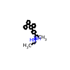 CCC/C=C\NN/C=C(\CCC)C1CC=C(C2=C3C=CC=CC3C(C3=CCCCC3C3CC=CCC3)CC2)CC1